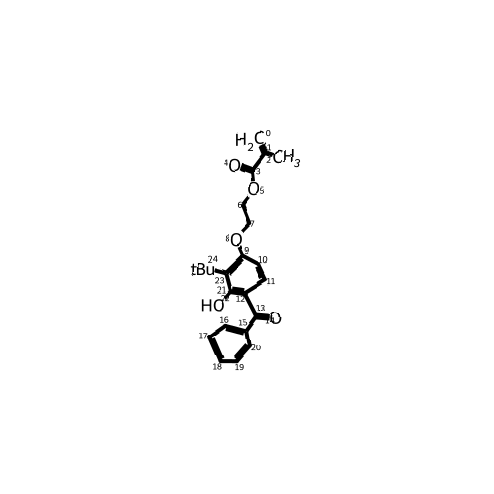 C=C(C)C(=O)OCCOc1ccc(C(=O)c2ccccc2)c(O)c1C(C)(C)C